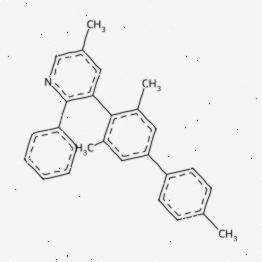 Cc1ccc(-c2cc(C)c(-c3cc(C)cnc3-c3ccccc3)c(C)c2)cc1